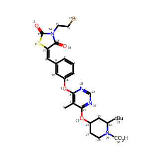 Cc1c(Oc2cccc(C=C3SC(=O)N(CCBr)C3=O)c2)ncnc1OC1CCN(C(=O)O)C(C(C)(C)C)C1